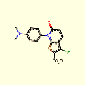 CCOC(=O)c1sc2c(ccc(=O)n2-c2ccc(N(C)C)cc2)c1Br